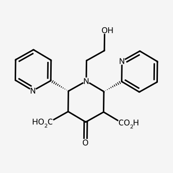 O=C(O)C1C(=O)C(C(=O)O)[C@H](c2ccccn2)N(CCO)[C@@H]1c1ccccn1